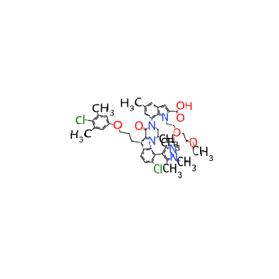 COCCOCCn1c(C(=O)O)cc2cc(C)cc(N3C[C@@H](C)n4c(c(CCCOc5cc(C)c(Cl)c(C)c5)c5ccc(Cl)c(-c6c(C)nn(C)c6C)c54)C3=O)c21